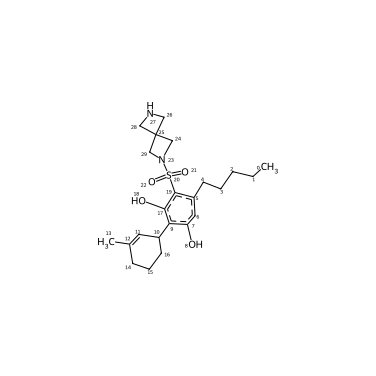 CCCCCc1cc(O)c(C2C=C(C)CCC2)c(O)c1S(=O)(=O)N1CC2(CNC2)C1